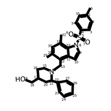 Cc1ccc(S(=O)(=O)n2ccc3c(CN4CCC(CO)CC4c4ccccc4)c(C)cc(C)c32)cc1